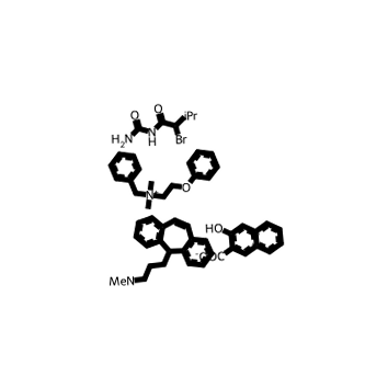 CC(C)C(Br)C(=O)NC(N)=O.CNCCCC1c2ccccc2C=Cc2ccccc21.C[N+](C)(CCOc1ccccc1)Cc1ccccc1.O=C([O-])c1cc2ccccc2cc1O